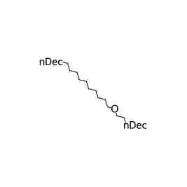 CCCCCCCCCCCCCCCCCCCCOCCCCCCCCCCCC